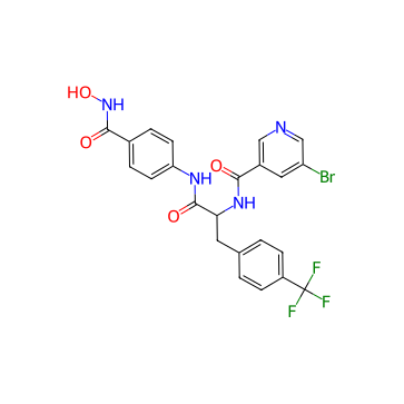 O=C(NO)c1ccc(NC(=O)C(Cc2ccc(C(F)(F)F)cc2)NC(=O)c2cncc(Br)c2)cc1